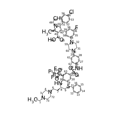 CCN1CCN(CC[C@H](CSc2ccccc2)Nc2ccc(S(=O)(=O)Nc3ccc(N4CCN(c5cc(F)cc(-c6c(C(=O)O)c(C)n(CC)c6-c6ccc(Cl)cc6)c5)CC4)cc3)cc2S(=O)(=O)C(F)(F)F)CC1